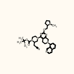 CN1CCCC1COc1nc2c(c(N3CCN(C(=O)OC(C)(C)C)C(CC#N)C3)n1)CCN(c1cccc3ccncc13)C2